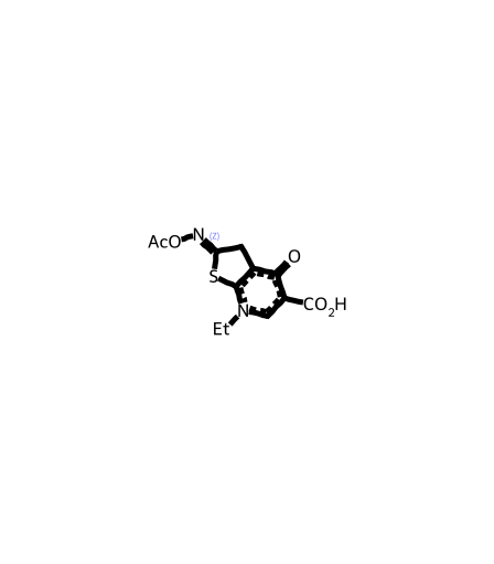 CCn1cc(C(=O)O)c(=O)c2c1S/C(=N\OC(C)=O)C2